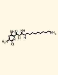 N=C(NCCCCCCCCCN)NC(=O)c1nc(Cl)c(N)nc1N